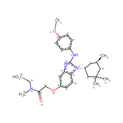 C[C@@H]1C[C@@H](n2c(Nc3ccc(OC(F)(F)F)cc3)nc3cc(OCC(=O)N(C)CC(=O)O)ccc32)CC(C)(C)C1